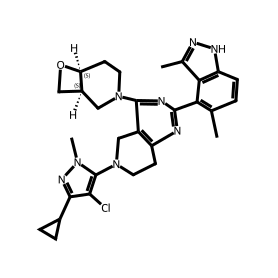 Cc1ccc2[nH]nc(C)c2c1-c1nc2c(c(N3CC[C@@H]4OC[C@@H]4C3)n1)CN(c1c(Cl)c(C3CC3)nn1C)CC2